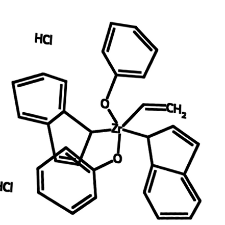 C=[CH][Zr]([O]c1ccccc1)([O]c1ccccc1)([CH]1C=Cc2ccccc21)[CH]1C=Cc2ccccc21.Cl.Cl